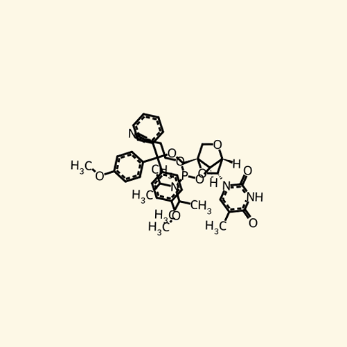 COc1ccc(C(OC[C@]23CO[C@H]([C@H](n4cc(C)c(=O)[nH]c4=O)O2)[C@H]3OP(OCCC#N)N(C(C)C)C(C)C)(c2ccccc2)c2ccc(OC)cc2)cc1